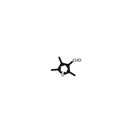 Cc1oc(C)c([C]=O)c1C